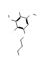 CCCCOc1cc(OCCCS(=O)(=O)O)c([N+](=O)[O-])c(OCCC)c1C(C)(C)C